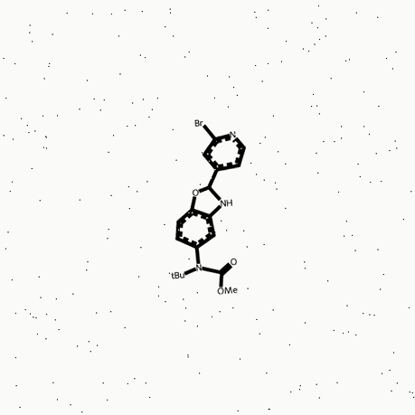 COC(=O)N(c1ccc2c(c1)NC(c1ccnc(Br)c1)O2)C(C)(C)C